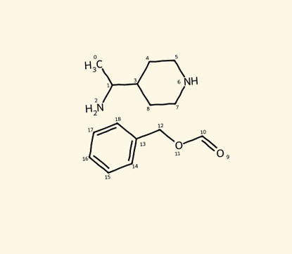 CC(N)C1CCNCC1.O=COCc1ccccc1